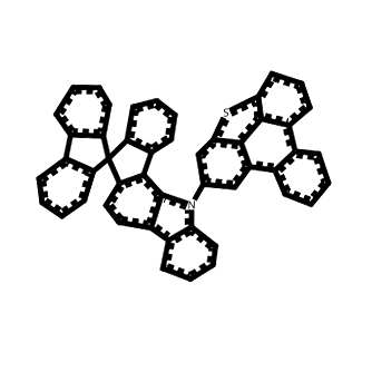 c1ccc2c(c1)-c1ccccc1C21c2ccccc2-c2c1ccc1c3ccccc3n(-c3cc4sc5cccc6c7ccccc7c(c3)c4c56)c21